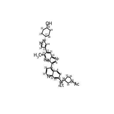 CCN(c1ccc2c(-c3cnc4cc(-c5cnn([C@H]6CC[C@H](O)CC6)c5)c(C)nn34)ccnc2c1)[C@H]1CCN(C(C)=O)C1